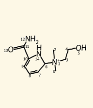 C[N+](C)(CCO)C1C=C[C]=C(C(N)=O)N1